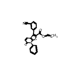 CCOC(=O)c1sc2c(ccc(=O)n2-c2ccccc2)c1-c1cccc(C#N)c1